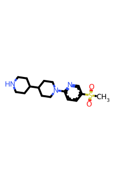 CS(=O)(=O)c1ccc(N2CCC(C3CCNCC3)CC2)nc1